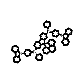 c1ccc(N(c2ccc(-n3c4ccccc4c4ccccc43)cc2)c2ccc3c(c2)C(c2ccccc2)(c2cccc4ccccc24)c2cc(N(c4ccccc4)c4ccc(-n5c6ccccc6c6ccccc65)cc4)ccc2-3)cc1